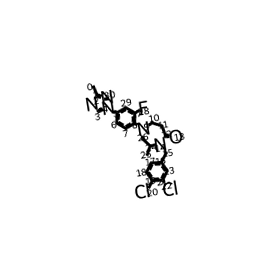 Cc1ncn(-c2ccc(N3CCC(=O)N(Cc4ccc(Cl)c(Cl)c4)C(C)C3)c(F)c2)n1